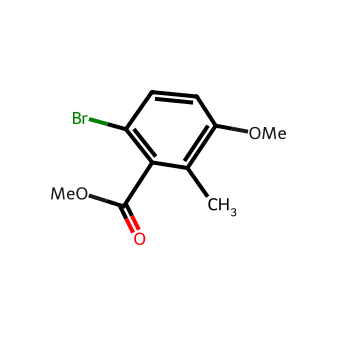 COC(=O)c1c(Br)ccc(OC)c1C